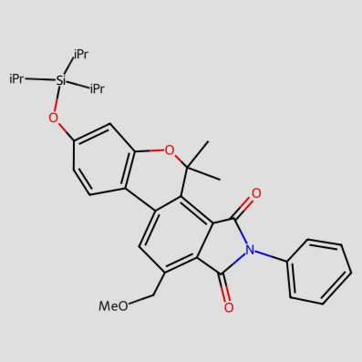 COCc1cc2c(c3c1C(=O)N(c1ccccc1)C3=O)C(C)(C)Oc1cc(O[Si](C(C)C)(C(C)C)C(C)C)ccc1-2